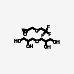 FC(F)(F)COCC1CO1.OCC(O)COCC(O)CO